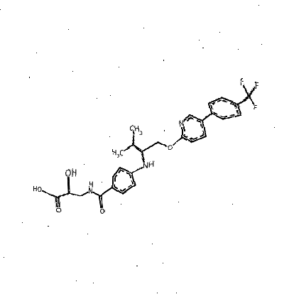 CC(C)C(COc1ccc(-c2ccc(C(F)(F)F)cc2)cn1)Nc1ccc(C(=O)NCC(O)C(=O)O)cc1